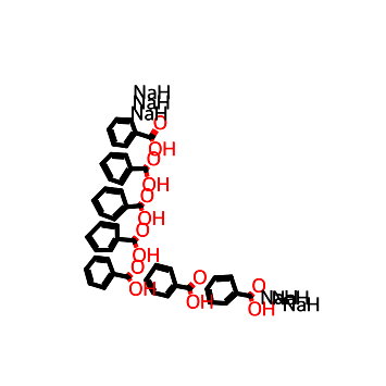 O=C(O)c1ccccc1.O=C(O)c1ccccc1.O=C(O)c1ccccc1.O=C(O)c1ccccc1.O=C(O)c1ccccc1.O=C(O)c1ccccc1.O=C(O)c1ccccc1.[NaH].[NaH].[NaH].[NaH].[NaH].[NaH]